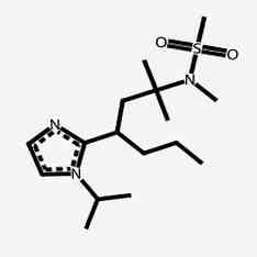 CCCC(CC(C)(C)N(C)S(C)(=O)=O)c1nccn1C(C)C